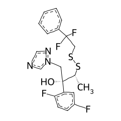 C[C@@H](SSCC(F)(F)c1ccccc1)[C@](O)(Cn1cncn1)c1cc(F)ccc1F